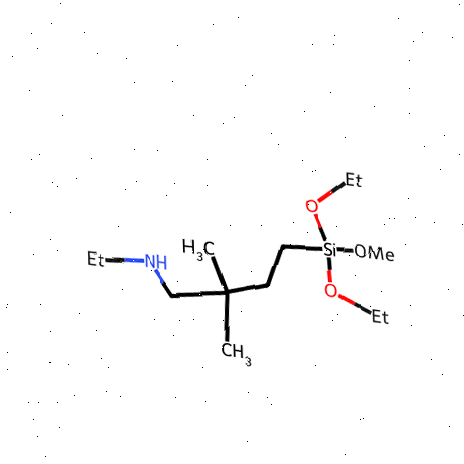 CCNCC(C)(C)CC[Si](OC)(OCC)OCC